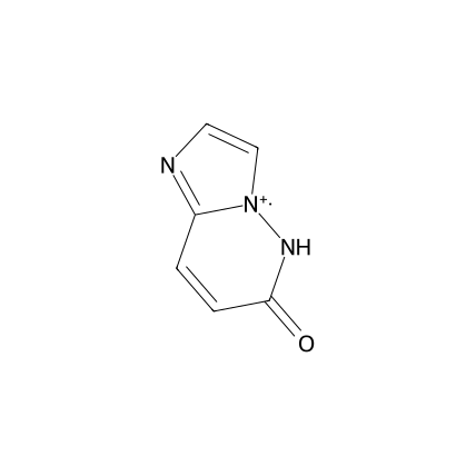 O=C1C=CC2=NC=C[N+]2N1